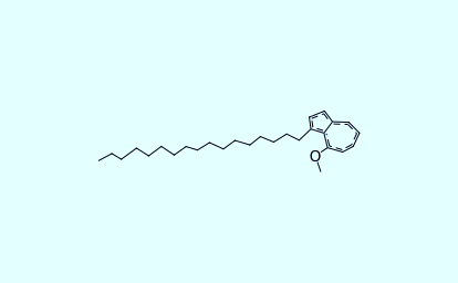 CCCCCCCCCCCCCCCCCc1ccc2ccccc(OC)c1-2